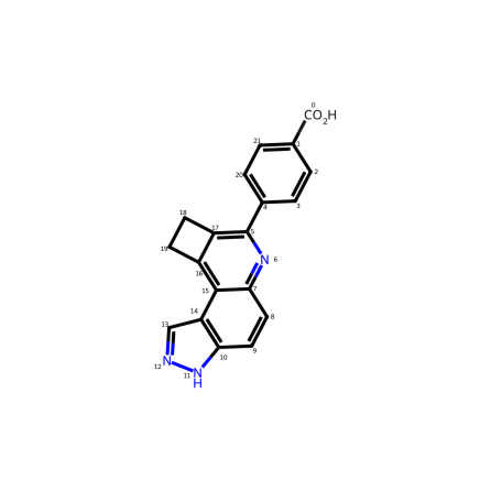 O=C(O)c1ccc(-c2nc3ccc4[nH]ncc4c3c3c2CC3)cc1